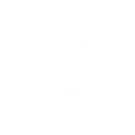 COc1c(F)cc(COCl)cc1F